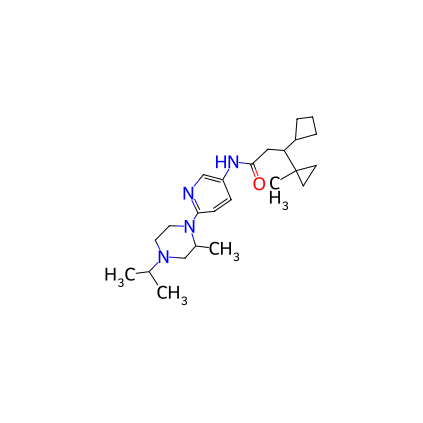 CC(C)N1CCN(c2ccc(NC(=O)CC(C3CCC3)C3(C)CC3)cn2)C(C)C1